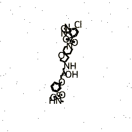 CNS(=O)(=O)c1cccc(OC[C@@H](O)CNC2COC3(CCN(S(=O)(=O)c4ccc(Cl)c5nonc45)CC3)C2)c1